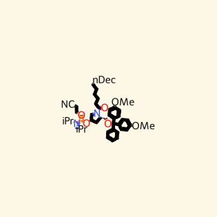 CCCCCCCCCCCCCCCC(=O)N1C[C@H](OP(OCCC#N)N(C(C)C)C(C)C)C[C@H]1COC(c1ccccc1)(c1ccc(OC)cc1)c1ccc(OC)cc1